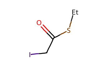 CCSC(=O)CI